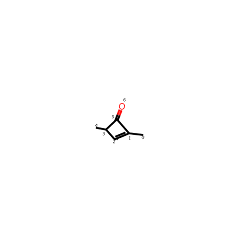 CC1=[C]C(C)C1=O